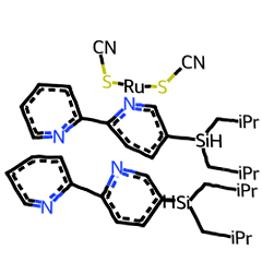 CC(C)C[SiH](CC(C)C)c1ccc(-c2ccccn2)nc1.CC(C)C[SiH](CC(C)C)c1ccc(-c2ccccn2)nc1.N#C[S][Ru][S]C#N